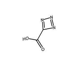 O=C(O)C1=NN=N1